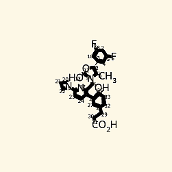 C[C@H]1[C@@H](C2=CC(F)CC(F)=C2)OC(O)N1Cc1nc(N2CCC2)ccc1-c1cc(CCC(=O)O)ccc1O